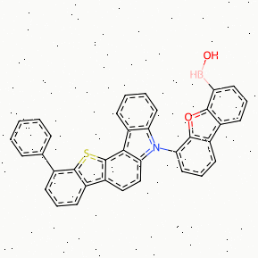 OBc1cccc2c1oc1c(-n3c4ccccc4c4c5sc6c(-c7ccccc7)cccc6c5ccc43)cccc12